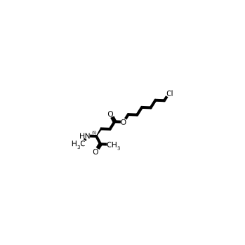 CN[C@@H](CCC(=O)OCCCCCCCl)C(C)=O